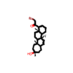 C[C@]1(O)CCC2CC[C@@H]3C(CC[C@]4(C)C(C(=O)CBr)CCCC34)[C@@]2(C)CC1